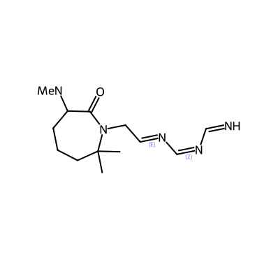 CNC1CCCC(C)(C)N(C/C=N/C=N\C=N)C1=O